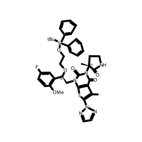 COc1ccc(F)cc1[C@H](Cn1c(=O)n([C@]2(C)CCNC2=O)c(=O)c2c(C)c(-n3nccn3)sc21)OCCO[Si](c1ccccc1)(c1ccccc1)C(C)(C)C